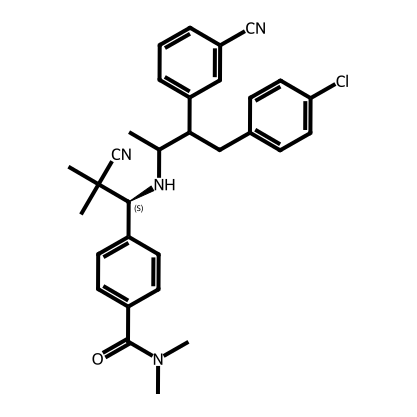 CC(N[C@@H](c1ccc(C(=O)N(C)C)cc1)C(C)(C)C#N)C(Cc1ccc(Cl)cc1)c1cccc(C#N)c1